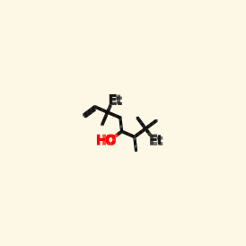 C=CC(C)(CC)CC(O)C(C)C(C)(C)CC